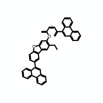 C=C(/C=C\C(=C)c1cc2ccccc2c2ccccc12)Oc1cc2oc3ccc(-c4cc5ccccc5c5ccccc45)cc3c2cc1CC